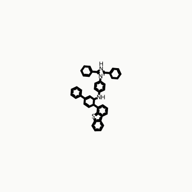 C1=CCCC(C2NC(C3=CCCC=C3)=[N+]2c2ccc(NC3C=C(c4ccccc4)C=CC3c3cccc4c3sc3ccccc34)cc2)=C1